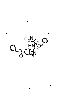 CC(C)(N)C(=O)N[C@H](COCc1ccccc1)c1nnc2n1CCC(C(=O)OCc1ccccc1)C2